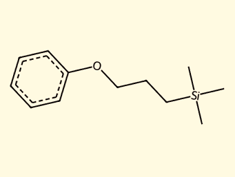 C[Si](C)(C)CCCOc1ccccc1